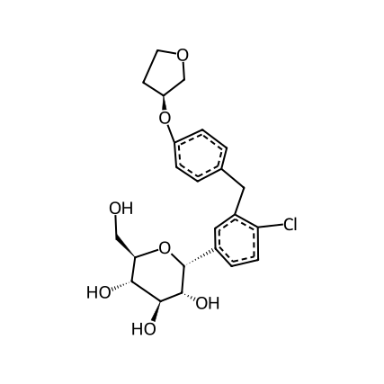 OC[C@H]1O[C@H](c2ccc(Cl)c(Cc3ccc(O[C@H]4CCOC4)cc3)c2)[C@H](O)[C@@H](O)[C@@H]1O